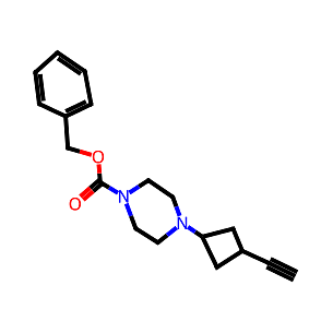 C#CC1CC(N2CCN(C(=O)OCc3ccccc3)CC2)C1